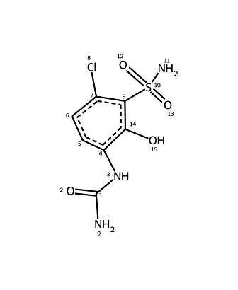 NC(=O)Nc1ccc(Cl)c(S(N)(=O)=O)c1O